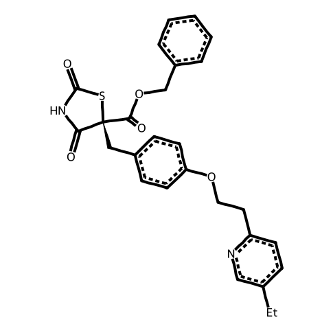 CCc1ccc(CCOc2ccc(C[C@]3(C(=O)OCc4ccccc4)SC(=O)NC3=O)cc2)nc1